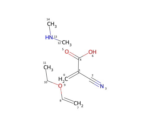 C=C(C#N)C(=O)O.C=COCC.CNC